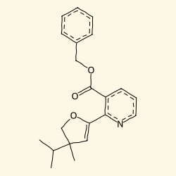 CC(C)C1(C)C=C(c2ncccc2C(=O)OCc2ccccc2)OC1